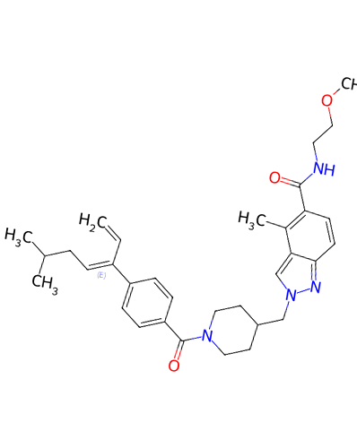 C=C/C(=C\CC(C)C)c1ccc(C(=O)N2CCC(Cn3cc4c(C)c(C(=O)NCCOC)ccc4n3)CC2)cc1